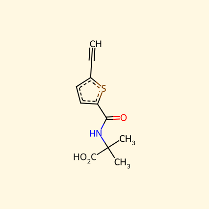 C#Cc1ccc(C(=O)NC(C)(C)C(=O)O)s1